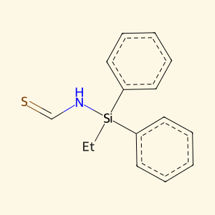 CC[Si](NC=S)(c1ccccc1)c1ccccc1